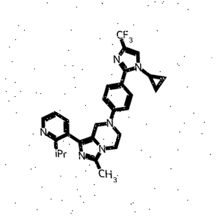 Cc1nc(-c2cccnc2C(C)C)c2n1CCN(c1ccc(-c3nc(C(F)(F)F)cn3C3CC3)cc1)C2